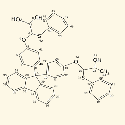 CC(O)C(Oc1ccc(C2(c3ccc(OC(Sc4ccccc4)C(C)O)cc3)c3ccccc3-c3ccccc32)cc1)Sc1ccccc1